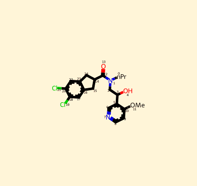 CCCN(CC(O)c1cnccc1OC)C(=O)C1Cc2cc(Cl)c(Cl)cc2C1